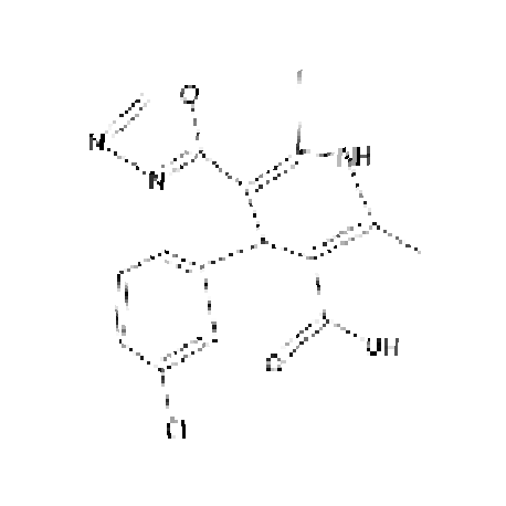 CC1=C(C(=O)O)C(c2cccc(Cl)c2)C(c2nnco2)=C(C)N1